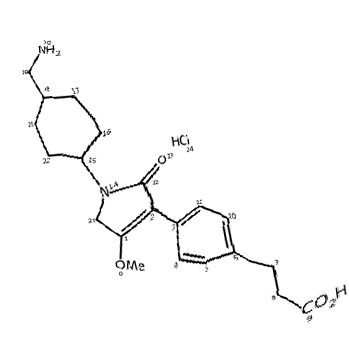 COC1=C(c2ccc(CCC(=O)O)cc2)C(=O)N(C2CCC(CN)CC2)C1.Cl